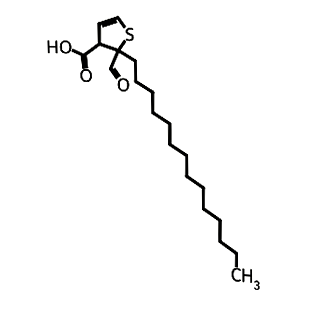 CCCCCCCCCCCCCCC1(C=O)SC=CC1C(=O)O